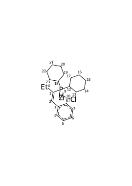 CCC(=Cc1ccccc1)[PH]([Zr][Cl])(C1CCCCC1)C1CCCCC1